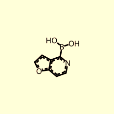 OB(O)c1nccc2occc12